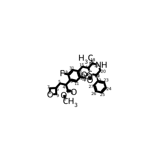 COC(=O)C(CC1COC1)c1cc(F)c(CC2[C@H](C)NC[C@@H](c3ccccc3)S2(=O)=O)cc1F